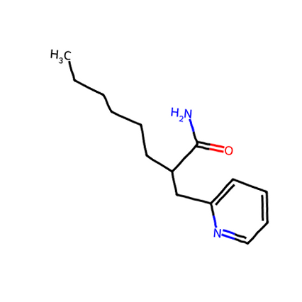 CCCCCCC(Cc1ccccn1)C(N)=O